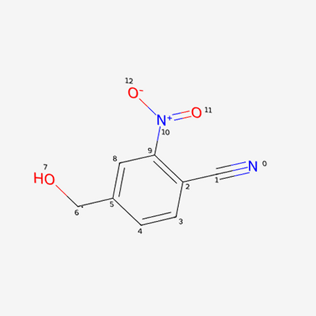 N#Cc1ccc([CH]O)cc1[N+](=O)[O-]